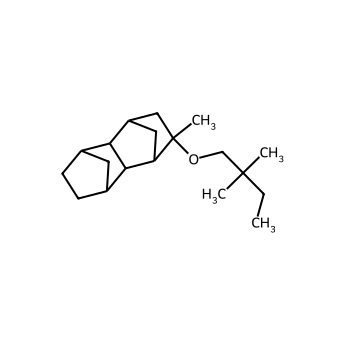 CCC(C)(C)COC1(C)CC2CC1C1C3CCC(C3)C21